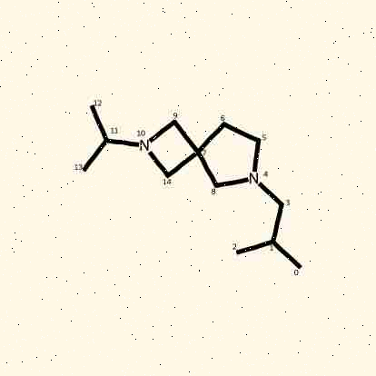 CC(C)CN1CCC2(C1)CN(C(C)C)C2